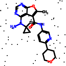 Cc1oc2ncnc(N(N)C3(C)CC3)c2c1C(=O)Nc1ccc(C2CCOCC2)nc1